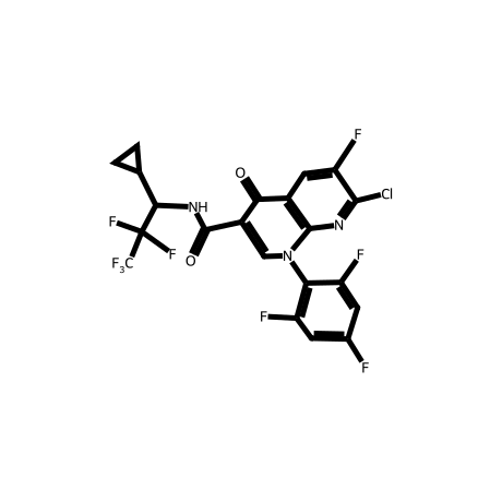 O=C(NC(C1CC1)C(F)(F)C(F)(F)F)c1cn(-c2c(F)cc(F)cc2F)c2nc(Cl)c(F)cc2c1=O